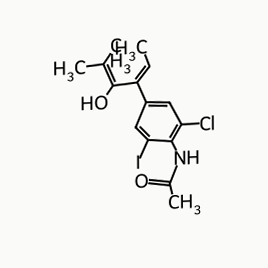 C/C=C(\C(O)=C(C)C)c1cc(Cl)c(NC(C)=O)c(I)c1